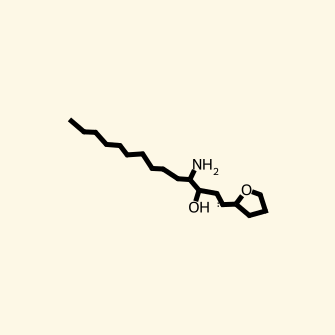 CCCCCCCCCCC(N)C(O)C[C]C1CCCO1